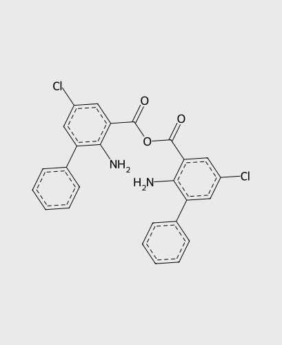 Nc1c(C(=O)OC(=O)c2cc(Cl)cc(-c3ccccc3)c2N)cc(Cl)cc1-c1ccccc1